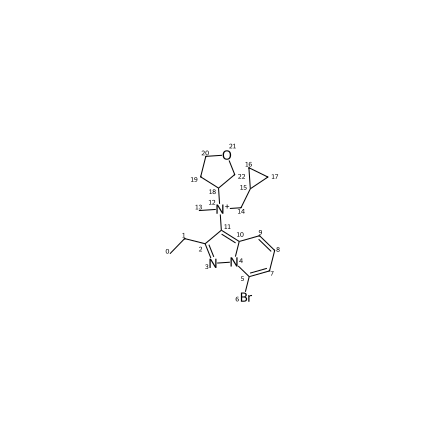 CCc1nn2c(Br)cccc2c1[N+](C)(CC1CC1)C1CCOC1